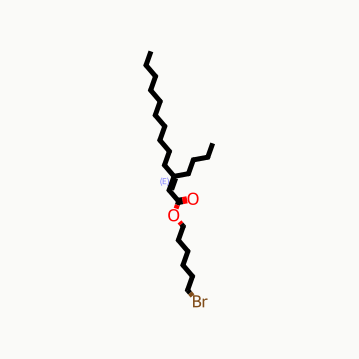 CCCCCCCCCC/C(=C/C(=O)OCCCCCCBr)CCCC